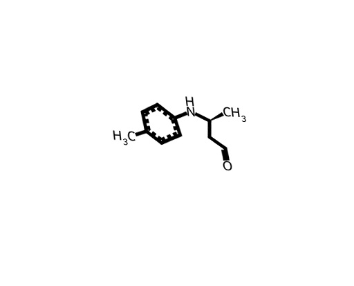 Cc1ccc(N[C@@H](C)CC=O)cc1